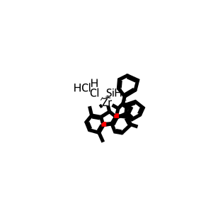 Cc1ccc(C)c2c1C=C(c1ccccc1)[CH]2[Zr]([CH3])([CH3])(=[SiH2])[CH]1C(c2ccccc2)=Cc2c(C)ccc(C)c21.Cl.Cl